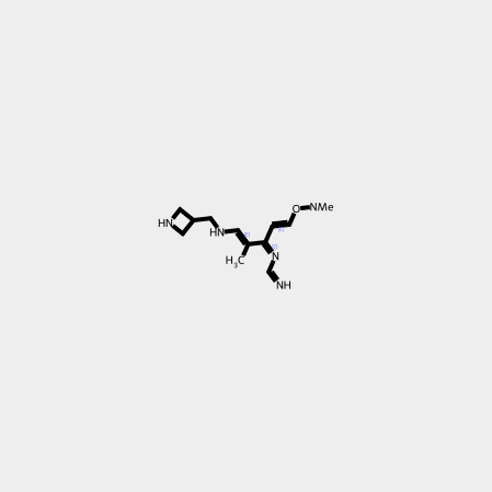 CNO/C=C/C(=N/C=N)C(/C)=C/NCC1CNC1